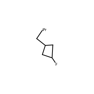 CC(C)CC1CC(F)C1